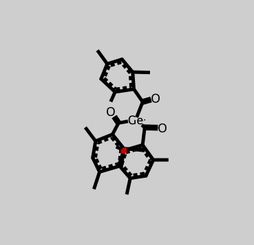 Cc1cc(C)c([C](=O)[Ge]([C](=O)c2c(C)cc(C)cc2C)[C](=O)c2c(C)cc(C)cc2C)c(C)c1